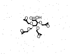 OC[C@@H](O)[C@@H](OCC1CO1)[C@H](OCC1CO1)[C@H](COCC1CO1)OCC1CO1